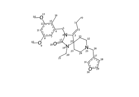 CC/C=C1\N(Cc2cc(OC)cc(OC)c2C)C(=O)N(CC)C12CCN(Cc1ccoc1)CC2